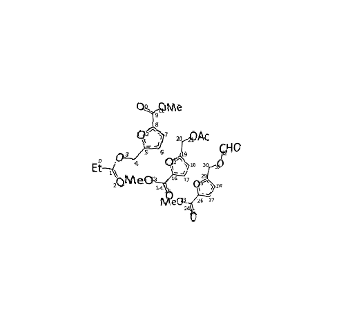 CCC(=O)OCc1ccc(C(=O)OC)o1.COC(=O)c1ccc(COC(C)=O)o1.COC(=O)c1ccc(COC=O)o1